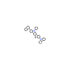 CC1(C)c2cc(-n3c4c(c5ccccc53)CCC=C4)ccc2-c2cc3c(cc21)c1ccc(-c2cccc4ccccc24)cc1n3-c1ccccc1